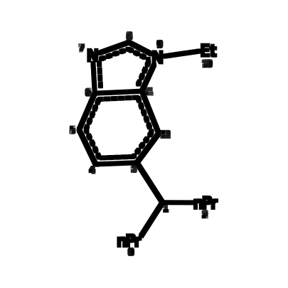 CCCC(CCC)c1ccc2ncn(CC)c2c1